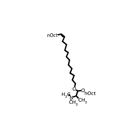 CCCCCCCC/C=C\CCCCCCCCCCCCOC(OCCCCCCCC)C(C)N(C)C